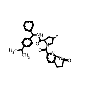 CC(C)c1ccc(C(NC(=O)C2CC(F)CN2C(=O)c2ccc3c(n2)NC(=O)CC3)c2ccccc2)cc1